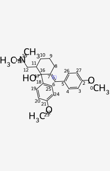 COc1ccc(/C=C2\CCCC(CN(C)C)C2(O)c2ccc(OC)cc2)cc1